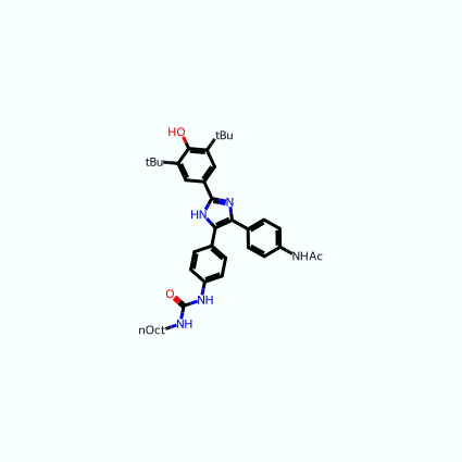 CCCCCCCCNC(=O)Nc1ccc(-c2[nH]c(-c3cc(C(C)(C)C)c(O)c(C(C)(C)C)c3)nc2-c2ccc(NC(C)=O)cc2)cc1